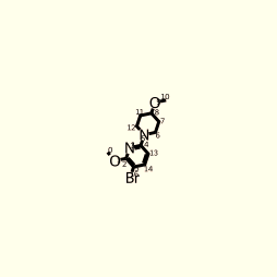 COc1nc(N2CCC(OC)CC2)ccc1Br